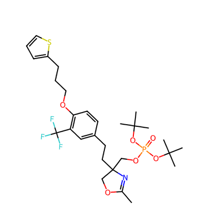 CC1=NC(CCc2ccc(OCCCc3cccs3)c(C(F)(F)F)c2)(COP(=O)(OC(C)(C)C)OC(C)(C)C)CO1